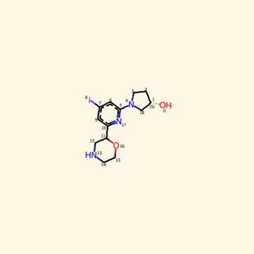 O[C@H]1CCN(c2cc(I)cc(C3CNCCO3)n2)C1